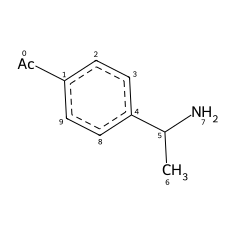 CC(=O)c1ccc(C(C)N)cc1